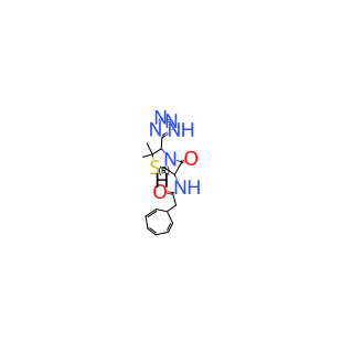 CC1(C)S[C@@H]2C(NC(=O)CC3C=CC=CC=C3)C(=O)N2C1c1nnn[nH]1